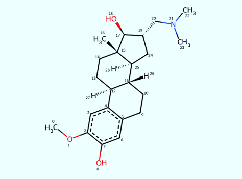 COc1cc2c(cc1O)CC[C@@H]1[C@@H]2CC[C@]2(C)[C@@H](O)[C@H](CN(C)C)C[C@@H]12